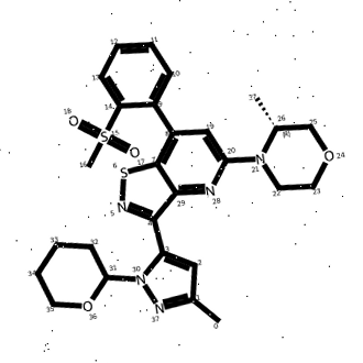 Cc1cc(-c2nsc3c(-c4ccccc4S(C)(=O)=O)cc(N4CCOC[C@H]4C)nc23)n(C2CCCCO2)n1